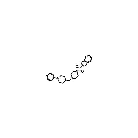 O=S(=O)(c1cc2ccccc2s1)N1CCN(CC2CCN(c3ccncc3)CC2)CC1